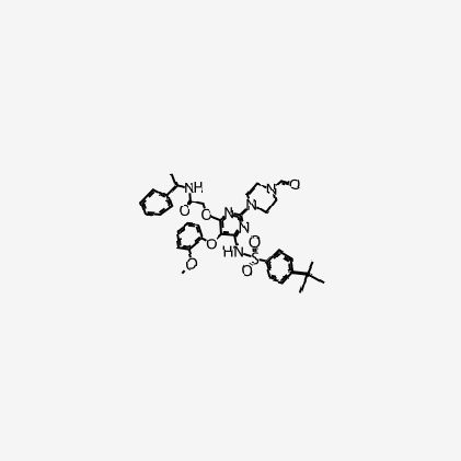 COc1ccccc1Oc1c(NS(=O)(=O)c2ccc(C(C)(C)C)cc2)nc(N2CCN(C=O)CC2)nc1OCC(=O)NC(C)c1ccccc1